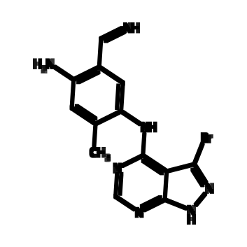 Cc1cc(N)c(C=N)cc1Nc1ncnc2[nH]nc(Br)c12